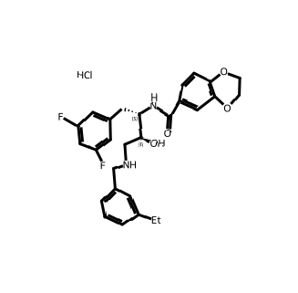 CCc1cccc(CNC[C@H](O)[C@H](Cc2cc(F)cc(F)c2)NC(=O)c2ccc3c(c2)OCCO3)c1.Cl